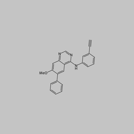 C#Cc1cccc(Nc2ncnc3cc(OC)c(-c4ccccc4)cc23)c1